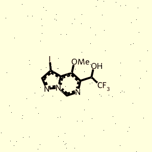 COc1c(C(O)C(F)(F)F)ncn2ncc(I)c12